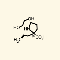 C=CC[C@@]1(C(=O)O)CCCN1.OCCO